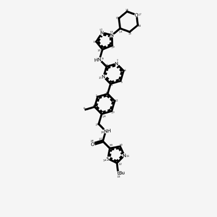 Cc1cc(-c2ccnc(Nc3cnn(C4CCOCC4)c3)n2)ccc1CNC(=O)c1cnc(C(C)(C)C)s1